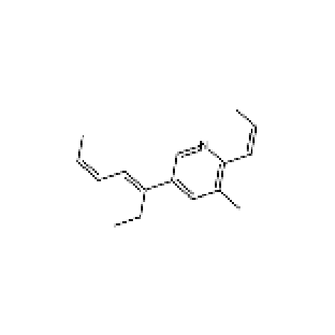 C/C=C\C=C(/CC)c1cnc(/C=C\C)c(C)c1